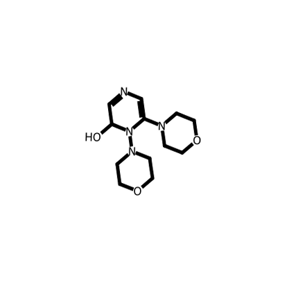 OC1C=NC=C(N2CCOCC2)N1N1CCOCC1